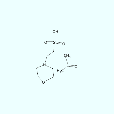 CC(C)=O.O=S(=O)(O)CCN1CCOCC1